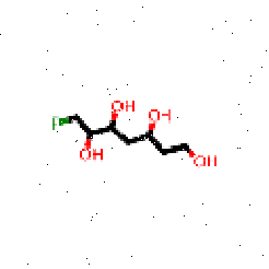 OCCC(O)CC(O)C(O)CF